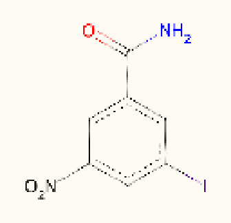 NC(=O)c1cc(I)cc([N+](=O)[O-])c1